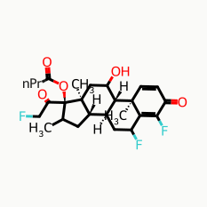 CCCC(=O)O[C@]1(C(=O)CF)C(C)C[C@H]2[C@@H]3CC(F)C4=C(F)C(=O)C=C[C@]4(C)[C@H]3C(O)C[C@@]21C